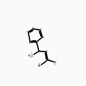 CC(C=C(Br)Br)c1ccccc1